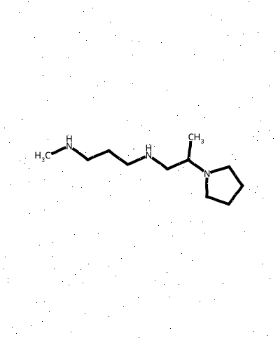 CNCCCNCC(C)N1CCCC1